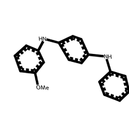 COc1cccc(Nc2ccc(Nc3ccccc3)cc2)c1